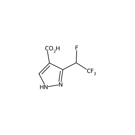 O=C(O)c1c[nH]nc1C(F)C(F)(F)F